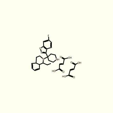 CCC1C2C=CC=CC2CCN1C1(c2noc3cc(F)ccc23)CCNCC1.O=C(O)/C=C/C(=O)O.O=C(O)/C=C/C(=O)O